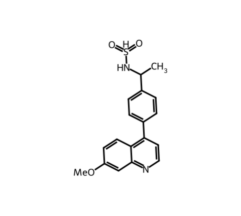 COc1ccc2c(-c3ccc(C(C)N[SH](=O)=O)cc3)ccnc2c1